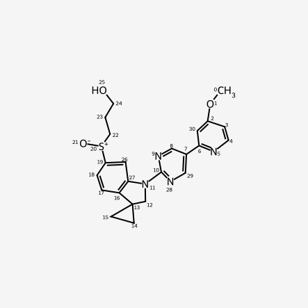 COc1ccnc(-c2cnc(N3CC4(CC4)c4ccc([S+]([O-])CCCO)cc43)nc2)c1